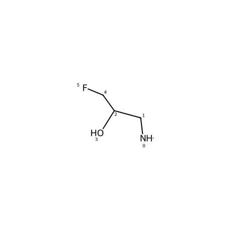 [NH]CC(O)CF